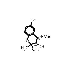 CN[C@H]1c2cc(C(C)C)ccc2OC(C)(C)[C@@H]1O